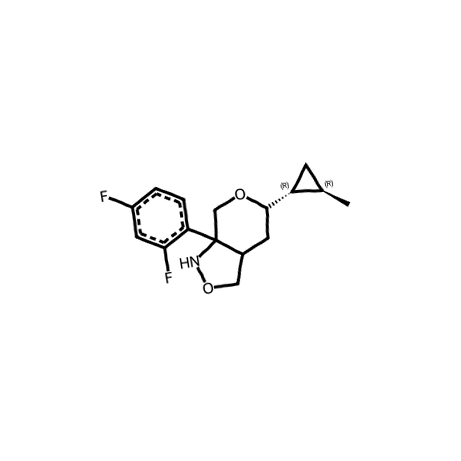 C[C@@H]1C[C@H]1C1CC2CONC2(c2ccc(F)cc2F)CO1